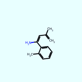 C=C(C)/C=C(/N)c1ccccc1C